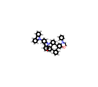 c1ccc(N2CCOc3cc4c(cc32)-c2cccc(-n3c5ccccc5c5cc(-n6c7ccccc7c7ccccc76)ccc53)c2-c2ccccc2-c2ccccc2-4)cc1